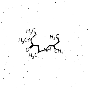 CCC(C)CNC(C)CC(=O)N(C)CC